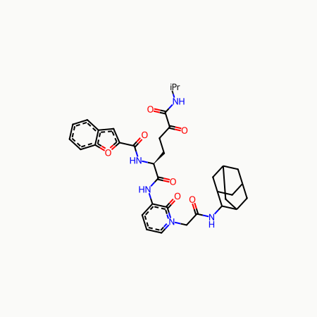 CC(C)NC(=O)C(=O)CC[C@H](NC(=O)c1cc2ccccc2o1)C(=O)Nc1cccn(CC(=O)NC2C3CC4CC(C3)CC2C4)c1=O